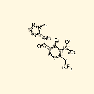 CC[S+]([O-])c1c(CC(F)(F)F)ccc(C(=O)Nc2nnnn2C)c1Cl